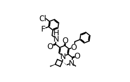 CN1C[C@]2(C[C@H](C)C2)n2cc(C(=O)NCc3cccc(Cl)c3F)c(=O)c(OCc3ccccc3)c2C1=O